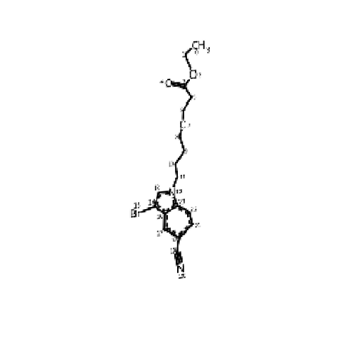 CCOC(=O)CCCCCCCn1cc(Br)c2cc(C#N)ccc21